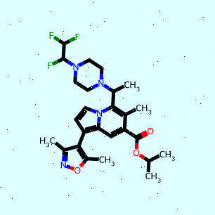 Cc1noc(C)c1-c1ccn2c(C(C)N3CCN(C(F)C(F)F)CC3)c(C)c(C(=O)OC(C)C)cc12